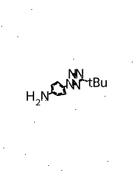 CC(C)(C)c1nnn(-c2ccc(N)cc2)n1